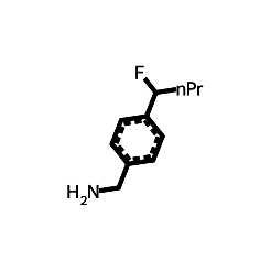 CCCC(F)c1ccc(CN)cc1